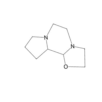 C1CC2C3OCCN3CCN2C1